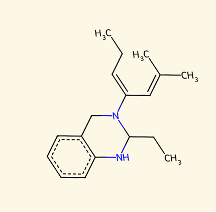 CC/C=C(\C=C(C)C)N1Cc2ccccc2NC1CC